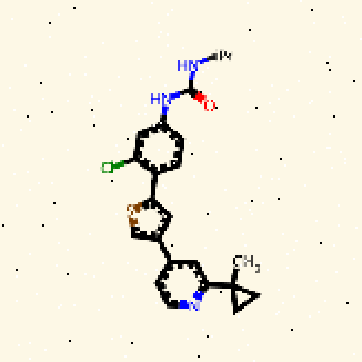 CC(C)NC(=O)Nc1ccc(-c2cc(-c3ccnc(C4(C)CC4)c3)cs2)c(Cl)c1